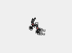 Cc1noc(C)c1-c1nc(-c2cc(OC[C@@H](CN(C)C(=O)OC(C)(C)C)O[Si](C)(C)C(C)(C)C)ccc2Cl)nc(N2CCC3(CCN(C4CC4)C3)C2)c1C